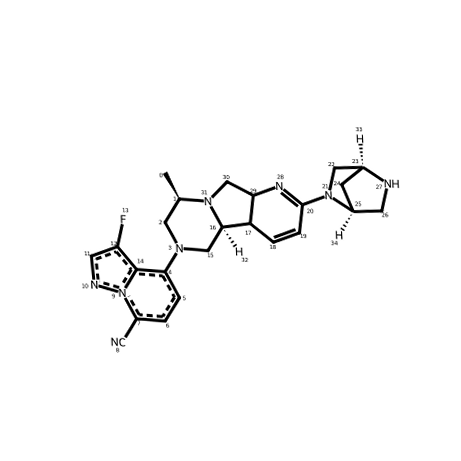 C[C@@H]1CN(c2ccc(C#N)n3ncc(F)c23)C[C@@H]2C3C=CC(N4C[C@@H]5C[C@H]4CN5)=NC3CN12